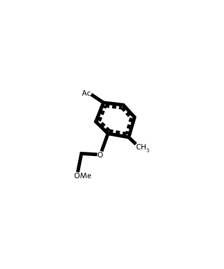 COCOc1cc(C(C)=O)ccc1C